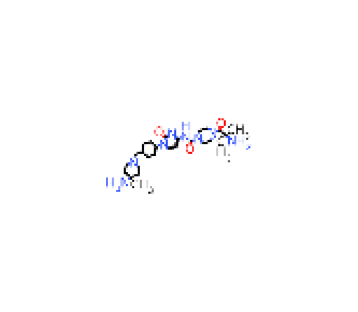 CC1(N)CCN(CC2CC=C(n3ccc(NC(=O)N4CCN(C(=O)C(C)(C)N)CC4)nc3=O)CC2)CC1